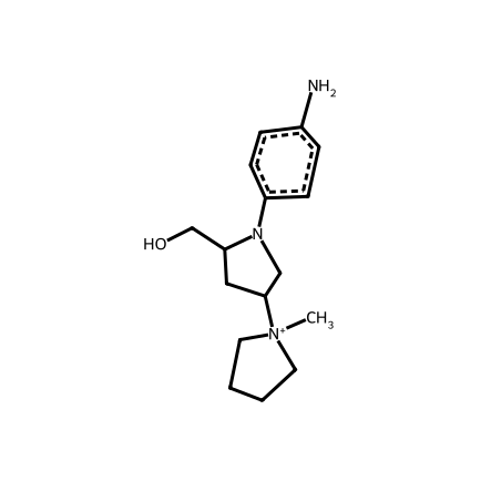 C[N+]1(C2CC(CO)N(c3ccc(N)cc3)C2)CCCC1